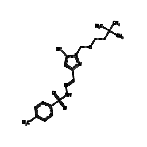 Cc1ccc(S(=O)(=O)NN=Cc2cc(C#N)n(COCC[Si](C)(C)C)n2)cc1